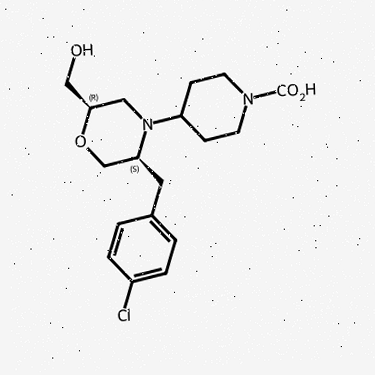 O=C(O)N1CCC(N2C[C@H](CO)OC[C@@H]2Cc2ccc(Cl)cc2)CC1